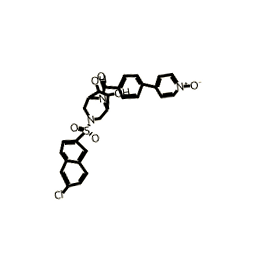 O=C(c1ccc(-c2cc[n+]([O-])cc2)cc1)N1C2CN(S(=O)(=O)c3ccc4cc(Cl)ccc4c3)CC1C(O)C2O